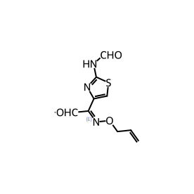 C=CCO/N=C(/[C]=O)c1csc(NC=O)n1